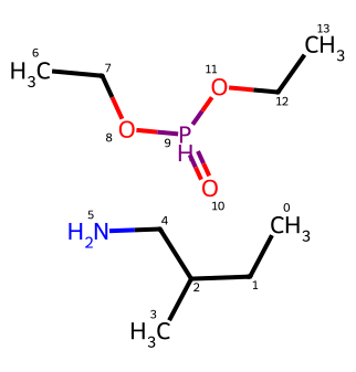 CCC(C)CN.CCO[PH](=O)OCC